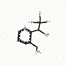 CCc1cccnc1C(O)C(F)(F)F